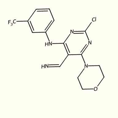 N=Cc1c(Nc2cccc(C(F)(F)F)c2)nc(Cl)nc1N1CCOCC1